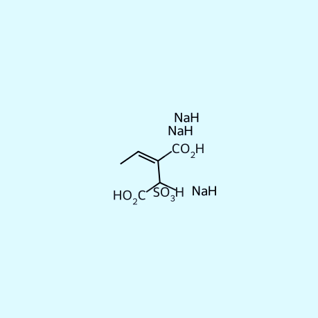 CC=C(C(=O)O)C(C(=O)O)S(=O)(=O)O.[NaH].[NaH].[NaH]